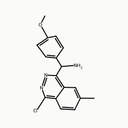 COc1ccc(C(N)c2nnc(Cl)c3ccc(C)cc23)cc1